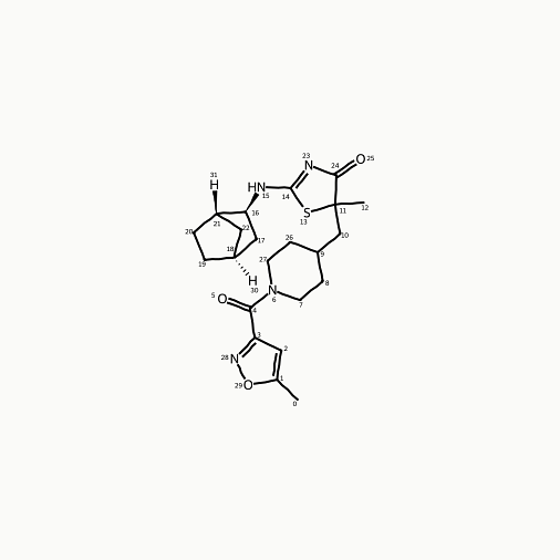 Cc1cc(C(=O)N2CCC(CC3(C)SC(N[C@H]4C[C@H]5CC[C@H]4C5)=NC3=O)CC2)no1